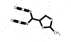 CC1SCC(C(N=C=O)N=C=O)S1